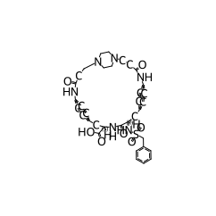 O=C1CCN2CCN(CCC(=O)Nc3ccc(cc3)C[C@@H](NS(=O)(=O)Cc3ccccc3)C(=O)N[C@H](C(=O)O)Cc3ccc(cc3)N1)CC2